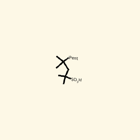 CCCC(C)C(C)(C)CC(C)(C)S(=O)(=O)O